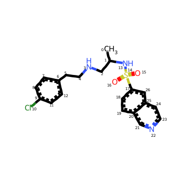 CC(CNCCc1ccc(Cl)cc1)NS(=O)(=O)c1ccc2cnccc2c1